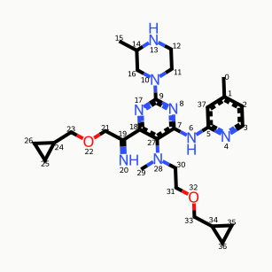 Cc1ccnc(Nc2nc(N3CCNC(C)C3)nc(C(=N)COCC3CC3)c2N(C)CCOCC2CC2)c1